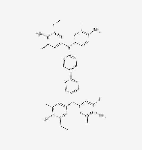 CCc1cc(C(c2ccc(-c3ccc(C(c4cc(C)c(N)c(CC)c4)c4cc(C)c(N)c(CC)c4)cc3)cc2)c2ccc(N)c(C)c2)cc(C)c1N